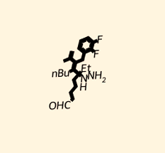 C=C(C)/C(Cc1cccc(F)c1F)=C(\CCCC)C(CC)(CCCCC=O)NN